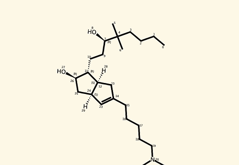 CCCCC(C)(C)[C@H](O)CC[C@@H]1[C@H]2CC(CCCCCN(C)C)=C[C@H]2C[C@H]1O